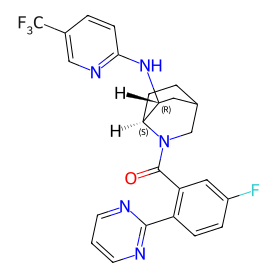 O=C(c1cc(F)ccc1-c1ncccn1)N1CC2CC[C@H]1[C@H](Nc1ccc(C(F)(F)F)cn1)C2